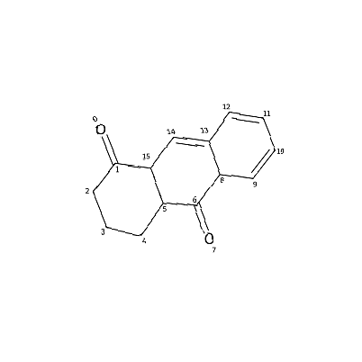 O=C1CCCC2C(=O)C3C=CC=CC3=CC12